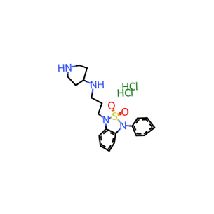 Cl.Cl.O=S1(=O)N(CCCNC2CCNCC2)c2ccccc2N1c1ccccc1